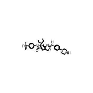 CCC(CC)n1c(C(=O)Nc2ccc(C(F)(F)F)cc2)cc2cnc(Nc3ccc(N4CCNCC4)cc3)nc21